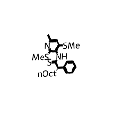 CCCCCCCC[C@H](C(=S)Nc1c(SC)cc(C)nc1SC)c1ccccc1